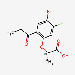 CCC(=O)c1cc(Br)c(F)cc1O[C@@H](C)C(=O)O